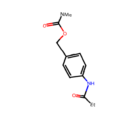 CCC(=O)Nc1ccc(COC(=O)NC)cc1